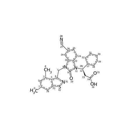 Cc1cc(C)c2c(Cn3c(=O)n([C@H](CC(=O)O)c4ccccc4)c4ccc(C#N)cc43)nsc2c1